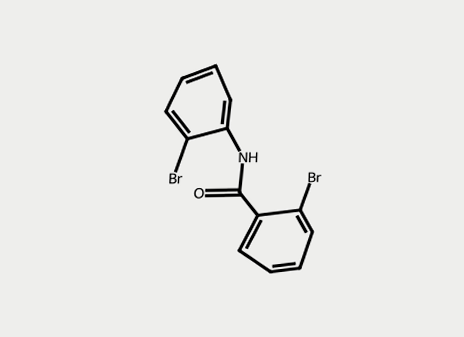 O=C(Nc1ccccc1Br)c1ccccc1Br